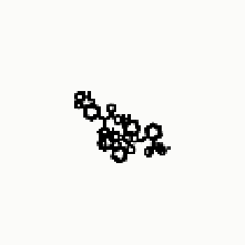 COc1ccc(C(C(=O)O)C2CC(=O)N2CP(C(=O)OCc2ccccc2[N+](=O)[O-])(c2ccccc2)(c2ccccc2)c2ccccc2)cc1